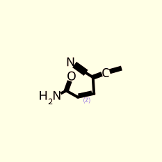 C=C=C(C#N)/C=C\C(N)=O